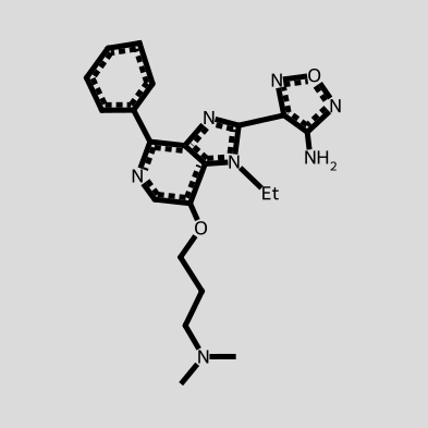 CCn1c(-c2nonc2N)nc2c(-c3ccccc3)ncc(OCCCN(C)C)c21